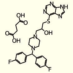 O=C(O)CCC(=O)O.OC(CSc1ncnc2[nH]cnc12)CN1CCN(C(c2ccc(F)cc2)c2ccc(F)cc2)CC1